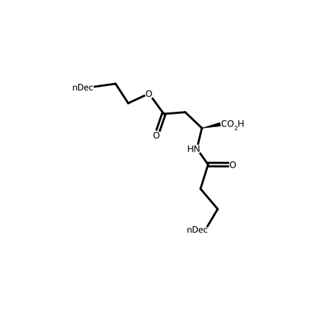 CCCCCCCCCCCCOC(=O)C[C@H](NC(=O)CCCCCCCCCCCC)C(=O)O